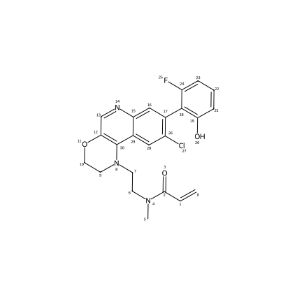 C=CC(=O)N(C)CCN1CCOc2cnc3cc(-c4c(O)cccc4F)c(Cl)cc3c21